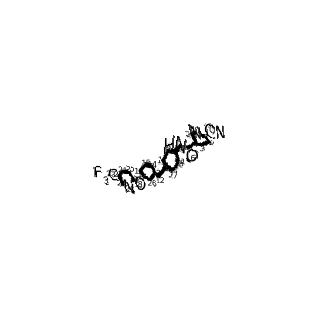 N#Cc1ccc(C(=O)NC2CCC(=Cc3cccc(Oc4ccc(C(F)(F)F)cn4)c3)CC2)cn1